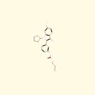 CCCCOC(=O)Nc1cccc(-c2c(N)c3ccc(OC)cc3n2C2CCCC2)c1